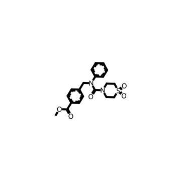 COC(=O)c1ccc(CN(C(=O)N2CCS(=O)(=O)CC2)c2ccccc2)cc1